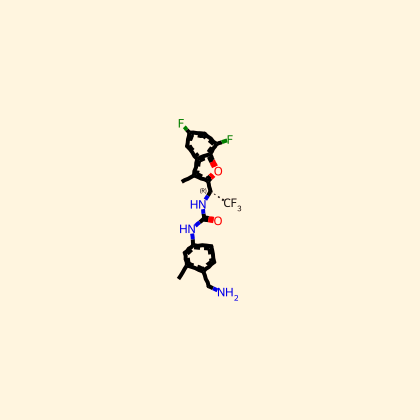 Cc1cc(NC(=O)N[C@H](c2oc3c(F)cc(F)cc3c2C)C(F)(F)F)ccc1CN